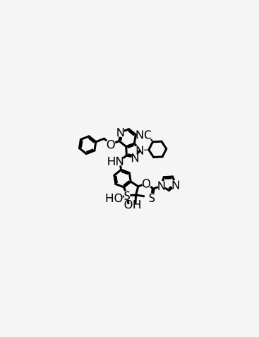 CC1(C)C(OC(=S)n2ccnc2)c2cc(Nc3nn([C@H]4CCCC[C@@H]4C#N)c4ccnc(OCc5ccccc5)c34)ccc2S1(O)O